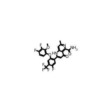 COc1c(Oc2cc(C(F)(F)F)c(F)cc2-c2cc(=O)c3c(C(N)=O)nc(C)cc3[nH]2)ccc(F)c1F